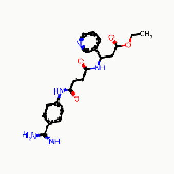 CCOC(=O)CC(NC(=O)CCC(=O)Nc1ccc(C(=N)N)cc1)c1cccnc1